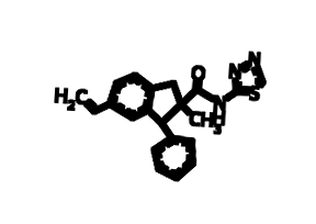 C=Cc1ccc2c(c1)C(c1ccccc1)C(C)(C(=O)Nc1nncs1)C2